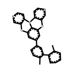 Cc1ccccc1-c1cc(-c2cc3c4c(c2)Oc2cnccc2N4c2ccncc2O3)ccc1C